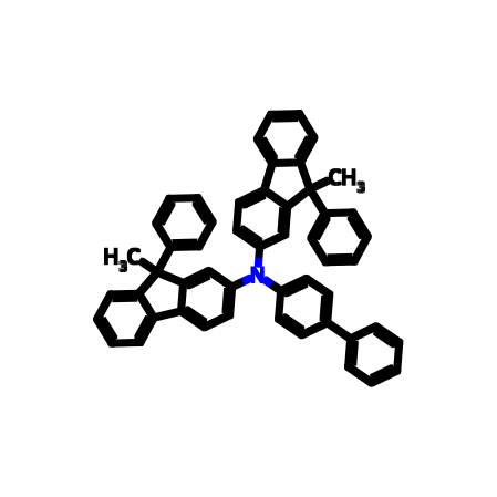 CC1(c2ccccc2)c2ccccc2-c2ccc(N(c3ccc(-c4ccccc4)cc3)c3ccc4c(c3)C(C)(c3ccccc3)c3ccccc3-4)cc21